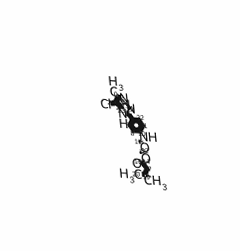 Cc1nn2nc(-c3ccc(NCOCOC(=O)CC(C)C)cc3)[nH]c2c1Cl